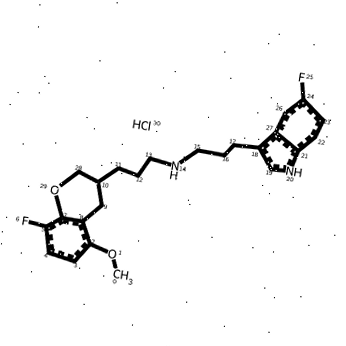 COc1ccc(F)c2c1CC(CCCNCCCc1c[nH]c3ccc(F)cc13)CO2.Cl